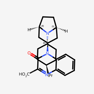 CC(C)[C@H]1CC[C@H](N2[C@@H]3CC[C@H]2C[C@@H](n2c(=O)c(C(=O)O)nc4ccccc42)C3)CC1